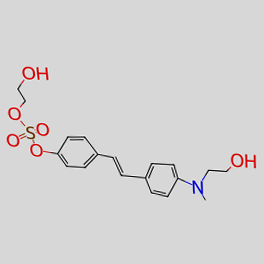 CN(CCO)c1ccc(C=Cc2ccc(OS(=O)(=O)OCCO)cc2)cc1